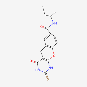 CCC(C)NC(=O)c1ccc2c(c1)Cc1c([nH]c(=S)[nH]c1=O)O2